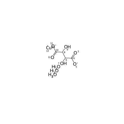 O.O.O.O=C([O-])C(O)C(O)C(=O)[O-].[Cu+2]